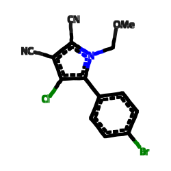 COCn1c(C#N)c(C#N)c(Cl)c1-c1ccc(Br)cc1